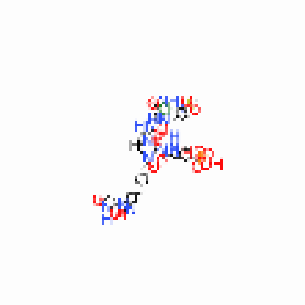 Cn1c(=O)n(C2CCC(=O)NC2=O)c2ccc(C[C@H]3CC[C@@H](CC(=O)N4CC[C@H]5CC[C@@H](C(=O)N[C@@H](CCC(N)=O)C(=O)NCc6ccc(S(C)(=O)=O)cc6Cl)N5C(=O)[C@@H](NC(=O)c5cc6cc(C(=O)P(=O)(O)O)ccc6[nH]5)C4)CC3)cc21